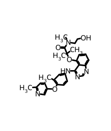 Cc1ccc(Oc2ccc(Nc3ncnc4cccc(OC(C)(C)C(=O)N(C)CCO)c34)cc2C)cn1